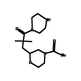 CC(C)(C)C(=O)N1CCOC(CC(C)(C)C(=O)N2CCNCC2)C1